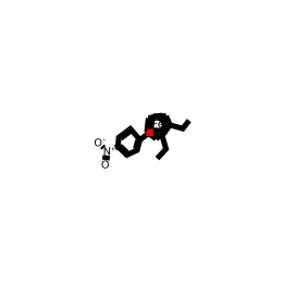 CC[C]12[CH]3[CH]4[C]5(c6ccc([N+](=O)[O-])cc6)[C]1(CC)[Fe]34251678[CH]2[CH]1[CH]6[CH]7[CH]28